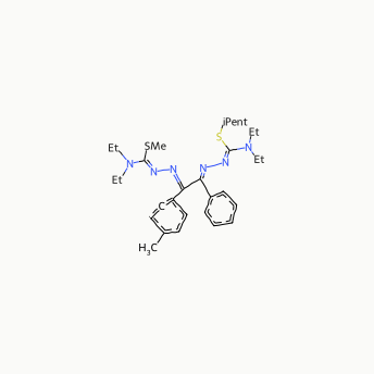 CCCC(C)S\C(=N/N=C(/C(=N/N=C(\SC)N(CC)CC)c1ccc(C)cc1)c1ccccc1)N(CC)CC